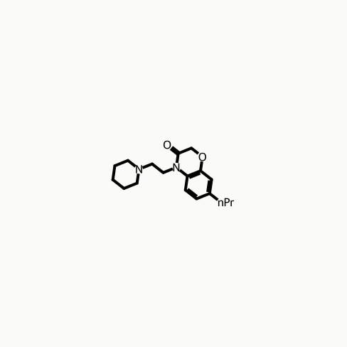 CCCc1ccc2c(c1)OCC(=O)N2CCN1CCCCC1